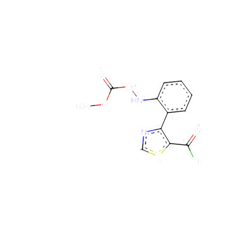 CCCCOC(=O)ONc1ccccc1-c1ncsc1C(=O)Cl